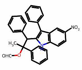 CC(OC=O)(c1ccccc1)C(c1ccccc1)c1[nH]c2ccc([N+](=O)[O-])cc2c1-c1ccccc1